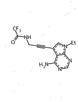 CCn1cc(C#CCNC(=O)C(F)(F)F)c2c(N)ncnc21